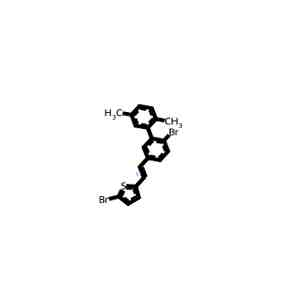 Cc1ccc(C)c(-c2cc(/C=C/c3ccc(Br)s3)ccc2Br)c1